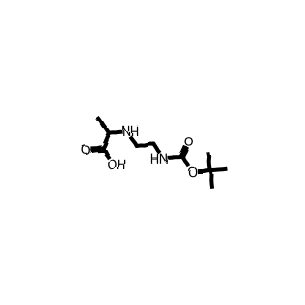 CC(NCCNC(=O)OC(C)(C)C)C(=O)O